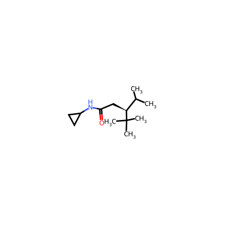 CC(C)[C@H](CC(=O)NC1CC1)C(C)(C)C